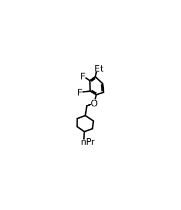 CCCC1CCC(COc2ccc(CC)c(F)c2F)CC1